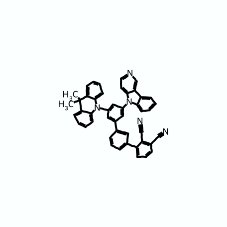 CC1(C)c2ccccc2N(c2cc(-c3cccc(-c4cccc(C#N)c4C#N)c3)cc(-n3c4ccccc4c4cnccc43)c2)c2ccccc21